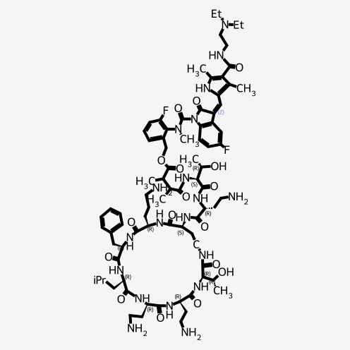 CCN(CC)CCNC(=O)c1c(C)[nH]c(/C=C2\C(=O)N(C(=O)N(C)c3c(F)cccc3COC(=O)C(C)C(C)C(=O)N[C@H](C(=O)N[C@H](CCN)C(=O)N[C@H]3CCNC(=O)[C@@H]([C@@H](C)O)NC(=O)[C@@H](CCN)NC(=O)[C@@H](CCN)NC(=O)[C@@H](CC(C)C)NC(=O)[C@@H](Cc4ccccc4)NC(=O)[C@@H](CCCN)NC3=O)[C@@H](C)O)c3ccc(F)cc32)c1C